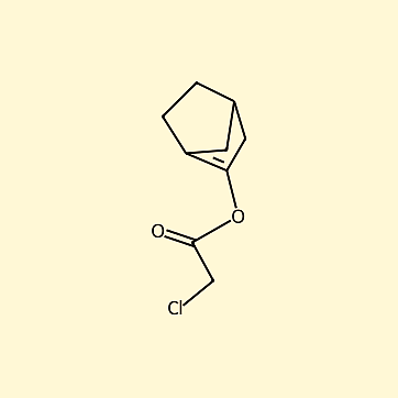 O=C(CCl)OC1=C2CCC(C2)C1